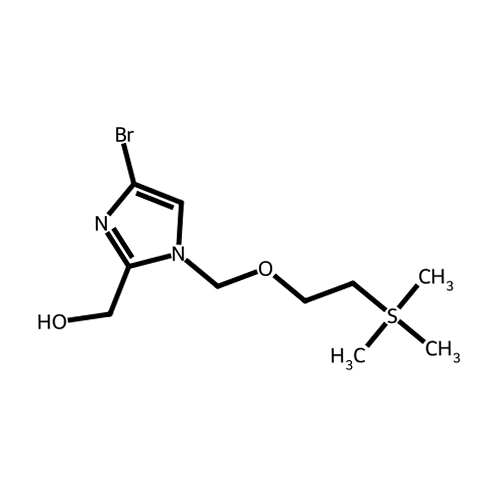 CS(C)(C)CCOCn1cc(Br)nc1CO